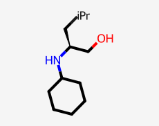 CC(C)C[C@@H](CO)NC1CCCCC1